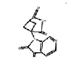 O=C1NC(=O)C2(n3c(=O)[nH]c4ccncc43)CC1C2